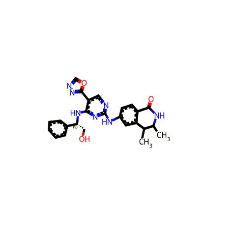 CC1NC(=O)c2ccc(Nc3ncc(-c4nnco4)c(N[C@H](CO)c4ccccc4)n3)cc2C1C